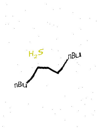 CCCCCCCCCC.S